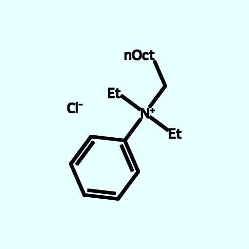 CCCCCCCCC[N+](CC)(CC)c1ccccc1.[Cl-]